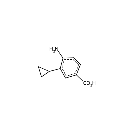 Nc1ccc(C(=O)O)cc1C1CC1